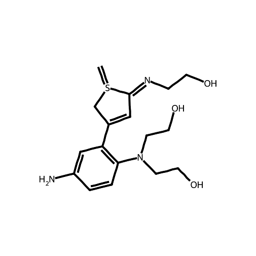 C=S1CC(c2cc(N)ccc2N(CCO)CCO)=CC1=NCCO